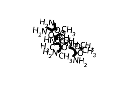 COC1(C)OC(CN)C(CN)OC1(NC(C)C1OC(C)(NCC2OC(C)(C)OC2CN)OC1C(C)N)OC